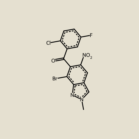 Cn1cc2cc([N+](=O)[O-])c(C(=O)c3cc(F)ccc3Cl)c(Br)c2n1